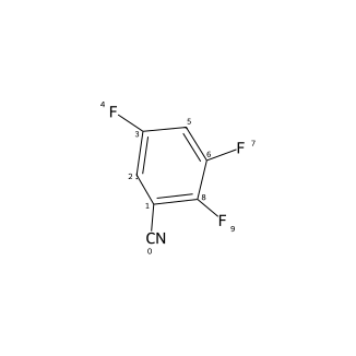 N#Cc1[c]c(F)cc(F)c1F